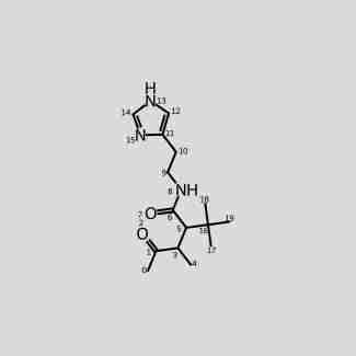 CC(=O)C(C)C(C(=O)NCCc1c[nH]cn1)C(C)(C)C